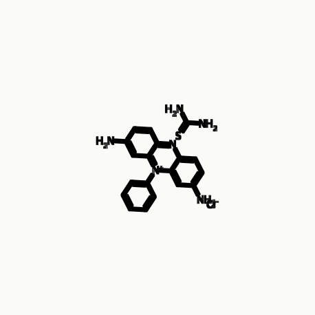 NC(N)=S.Nc1ccc2nc3ccc(N)cc3[n+](-c3ccccc3)c2c1.[Cl-]